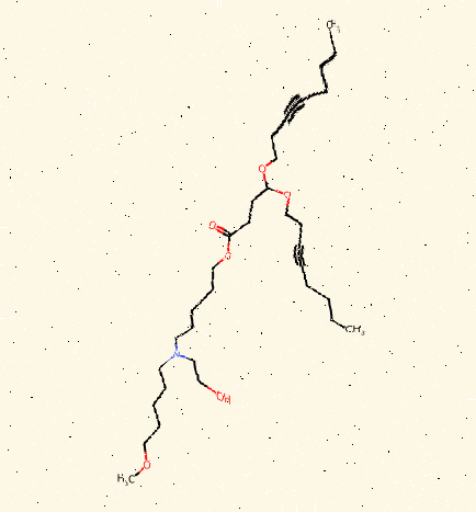 CCCCC#CCCOC(CCC(=O)OCCCCCN(CCO)CCCCCOC)OCCC#CCCCC